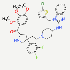 COc1ccc(C(=O)C2CC(CCN3CCC(Nc4nc5ccccc5n4Cc4ccc(Cl)s4)CC3)(c3ccc(F)c(F)c3)CN2)c(OC)c1OC